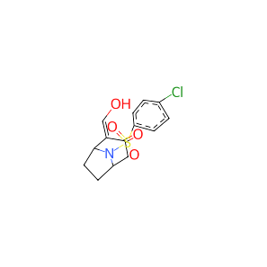 O=C1CC2CCC(C1=CO)N2S(=O)(=O)c1ccc(Cl)cc1